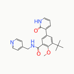 COc1c(C(=O)NCc2ccncc2)cc(-c2ccc[nH]c2=O)cc1C(C)(C)C